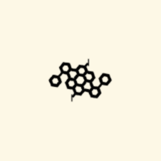 Ic1cc2c3cccc(-c4ccccc4)c3c3ccc4c(I)cc5c6cccc(-c7ccccc7)c6c6ccc1c1c2c3c4c5c61